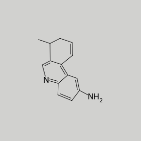 CC1CC=Cc2c1cnc1ccc(N)cc21